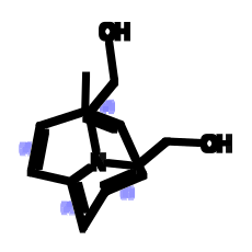 CC1=C/C=C/C=C(N(CCO)CCO)/C=C\1